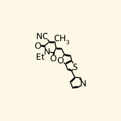 CCN1C(=O)C(C#N)=C(C)/C(=C/c2cc3sc(-c4cccnc4)cc3o2)C1=O